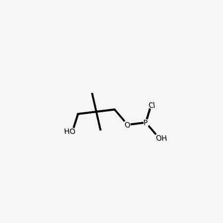 CC(C)(CO)COP(O)Cl